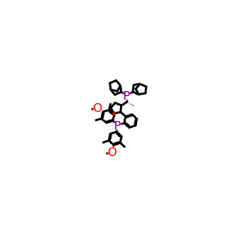 COc1c(C)cc(P(c2cc(C)c(OC)c(C)c2)c2ccccc2C2CCCC2[C@@H](C)P(C2CC3CCC2C3)C2CC3CCC2C3)cc1C